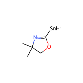 CC1(C)CO[C]([SnH])=N1